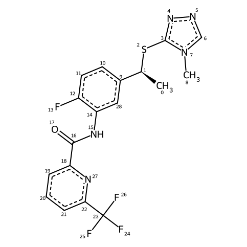 C[C@H](Sc1nncn1C)c1ccc(F)c(NC(=O)c2cccc(C(F)(F)F)n2)c1